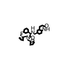 O=C([C@H](NCc1ccc2[nH]c(=O)ccc2c1)c1cccc(F)c1)N(Cc1ccco1)Cc1cccs1